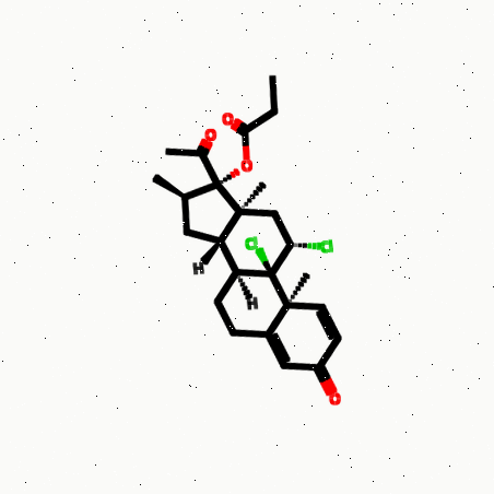 CCC(=O)O[C@@]1(C(C)=O)[C@H](C)C[C@H]2[C@@H]3CCC4=CC(=O)C=C[C@]4(C)[C@@]3(Cl)[C@@H](Cl)C[C@@]21C